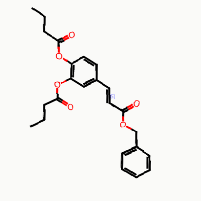 CCCC(=O)Oc1ccc(/C=C/C(=O)OCc2ccccc2)cc1OC(=O)CCC